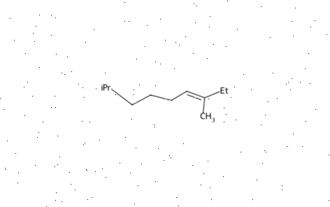 CC/C(C)=C/CCCC(C)C